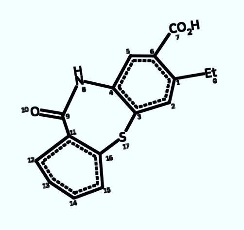 CCc1cc2c(cc1C(=O)O)NC(=O)c1ccccc1S2